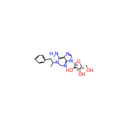 CC(Cc1ccccc1)N1CN=c2c(ncn2[C@@H]2O[C@H](CO)[C@@H](O)[C@H]2O)=C1N